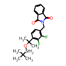 CC(C)(C)[SiH2]OC(C)(C)c1ccc(CN2C(=O)c3ccccc3C2=O)c(F)c1F